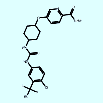 CCC(F)(F)c1cc(NC(=O)NC2CCC(Oc3ccc(C(=O)NC)nc3)CC2)ccc1Cl